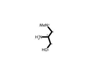 CNCC(N)CO